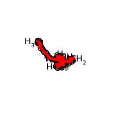 C=C1C[C@H]2C=Nc3cc(OCc4cc(COc5cc6c(cc5OC)C(=O)N5CC(=C)C[C@H]5C=N6)cc(OS(=O)(=O)Oc5cc(C(=O)NCCOCCOCCOCCn6cc(COCCOCCOCCOCCOc7ccc(-c8nnc(S(C)(=O)=O)o8)cc7)nn6)ccc5OC5O[C@H](CO)[C@H](O)[C@H](O)[C@H]5O)c4)c(OC)cc3C(=O)N2C1